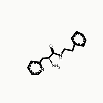 N[C@@H](Cc1ccccn1)C(=O)NCCc1ccccc1